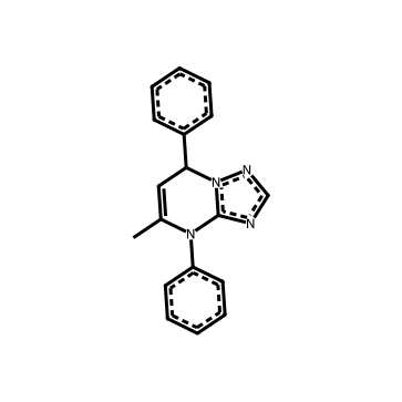 CC1=CC(c2ccccc2)n2ncnc2N1c1ccccc1